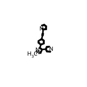 Cn1cc(-c2ccncc2)c(-c2ccc(C#Cc3ccccn3)cc2)n1